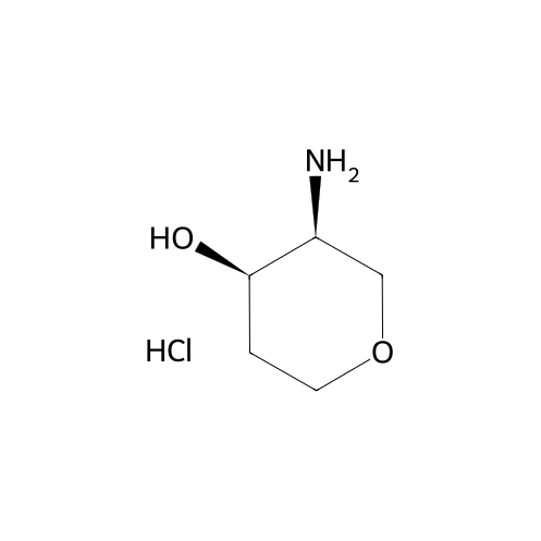 Cl.N[C@H]1COCC[C@H]1O